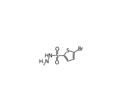 NNS(=O)(=O)c1ccc(Br)s1